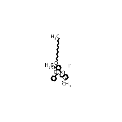 CCCCCCCCCCCCOc1ccc(C(=O)N(Cc2cccc[n+]2CC)C(=O)c2ccccc2)cc1OC.[I-]